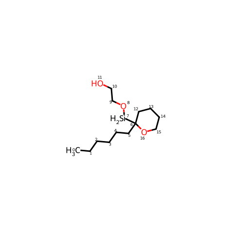 CCCCCCC1([SiH2]OCCO)CCCCO1